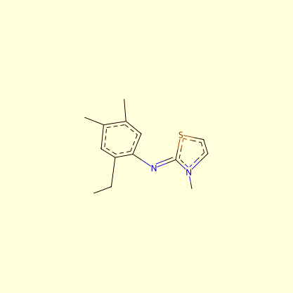 CCc1cc(C)c(C)cc1N=c1sccn1C